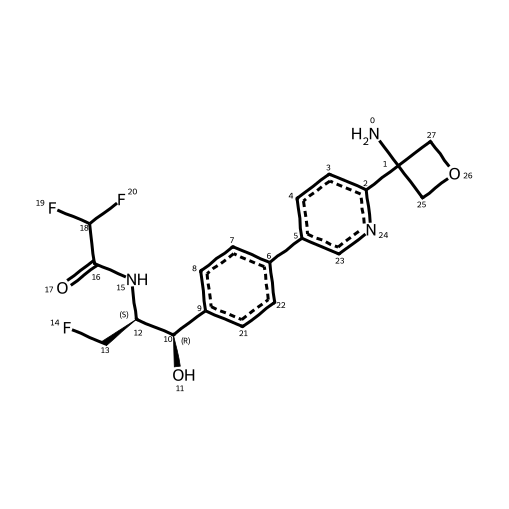 NC1(c2ccc(-c3ccc([C@@H](O)[C@@H](CF)NC(=O)C(F)F)cc3)cn2)COC1